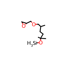 CC(CCC(C)(C)O[SiH3])COCC1CO1